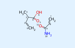 C=CC(C)C(=O)O.C=CC(N)=O